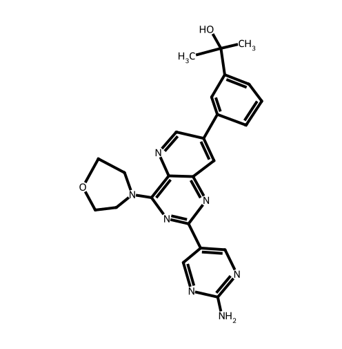 CC(C)(O)c1cccc(-c2cnc3c(N4CCOCC4)nc(-c4cnc(N)nc4)nc3c2)c1